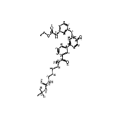 CCOC(=O)Nc1cccc(Cn2nc(-c3cccc(C(=O)NCCCCNC(=O)OC(C)(C)C)c3)ccc2=O)c1